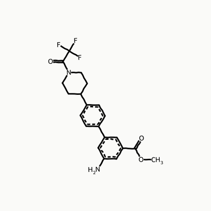 COC(=O)c1cc(N)cc(-c2ccc(C3CCN(C(=O)C(F)(F)F)CC3)cc2)c1